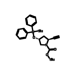 C#C[C@@H]1C[C@@H](O[Si](c2ccccc2)(c2ccccc2)C(C)(C)C)CN1C(=O)OC(C)(C)C